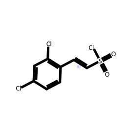 O=S(=O)(Cl)/C=C/c1ccc(Cl)cc1Cl